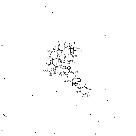 CC1(C)c2ccccc2-c2c(N(c3ccccc3-c3ccccc3)c3cccc4c3oc3cc5oc(-c6ccccc6)nc5cc34)cccc21